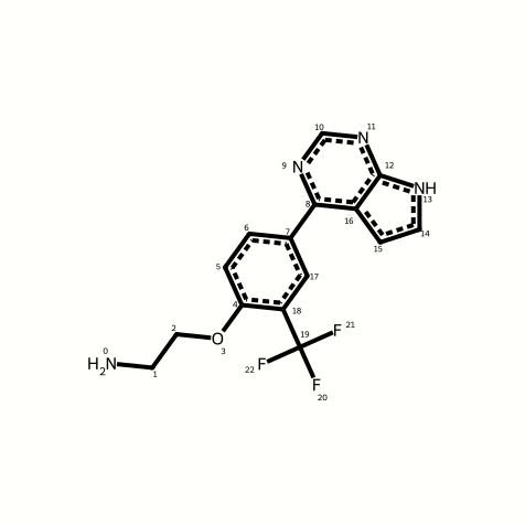 NCCOc1ccc(-c2ncnc3[nH]ccc23)cc1C(F)(F)F